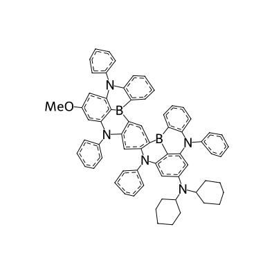 COc1cc2c3c(c1)N(c1ccccc1)c1cc4c(cc1B3c1ccccc1N2c1ccccc1)B1c2ccccc2N(c2ccccc2)c2cc(N(C3CCCCC3)C3CCCCC3)cc(c21)N4c1ccccc1